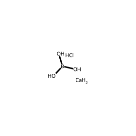 Cl.OB(O)O.[CaH2]